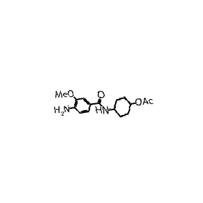 COc1cc(C(=O)NC2CCC(OC(C)=O)CC2)ccc1N